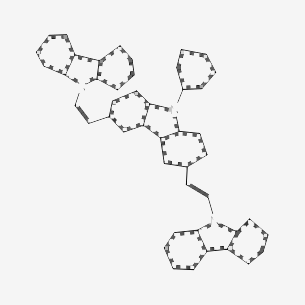 C(=C/n1c2ccccc2c2ccccc21)/c1ccc2c(c1)c1cc(/C=C/n3c4ccccc4c4ccccc43)ccc1n2-c1ccccc1